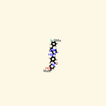 CNCC1(O)CCN(C(=O)c2ccc(Nc3nccn4c(-c5ccc(OC)c(F)c5)cnc34)cc2C)CC1